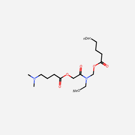 CCCCCCCCCCCCCC(=O)OCN(COC)C(=O)COC(=O)CCCN(C)C